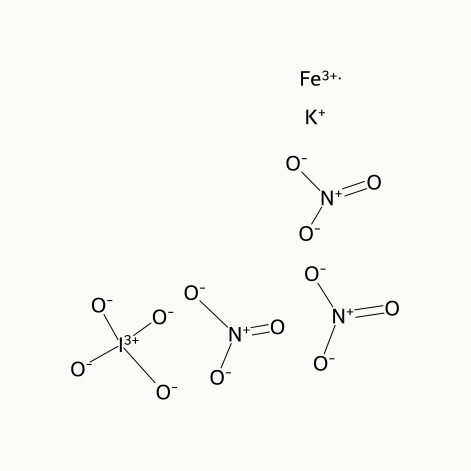 O=[N+]([O-])[O-].O=[N+]([O-])[O-].O=[N+]([O-])[O-].[Fe+3].[K+].[O-][I+3]([O-])([O-])[O-]